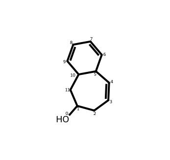 OC1CC=CC2C=CC=CC2C1